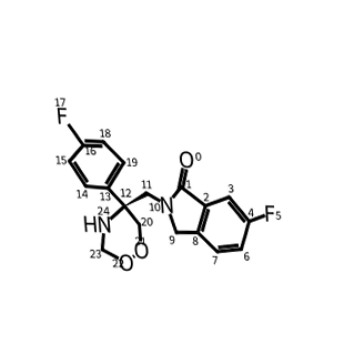 O=C1c2cc(F)ccc2CN1C[C@@]1(c2ccc(F)cc2)COOCN1